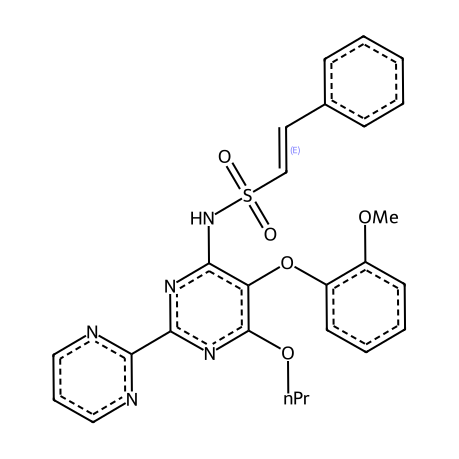 CCCOc1nc(-c2ncccn2)nc(NS(=O)(=O)/C=C/c2ccccc2)c1Oc1ccccc1OC